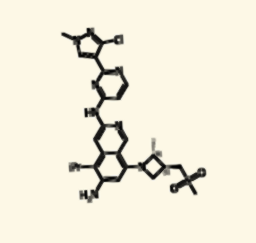 CC(C)c1c(N)cc(N2C[C@H](CS(C)(=O)=O)[C@H]2C)c2cnc(Nc3ccnc(-c4cn(C)nc4Cl)n3)cc12